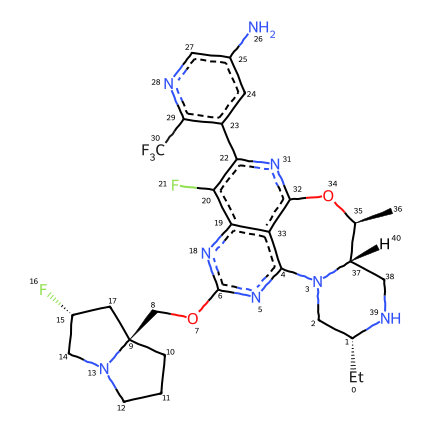 CC[C@@H]1CN2c3nc(OC[C@@]45CCCN4C[C@H](F)C5)nc4c(F)c(-c5cc(N)cnc5C(F)(F)F)nc(c34)O[C@@H](C)[C@@H]2CN1